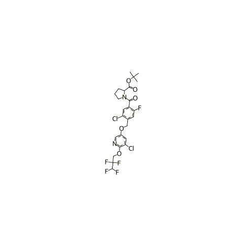 CC(C)(C)OC(=O)C1CCCN1C(=O)c1cc(Cl)c(COc2cnc(OCC(F)(F)C(F)F)c(Cl)c2)cc1F